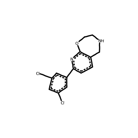 Clc1cc(Cl)cc(-c2ccc3c(n2)OCCNC3)c1